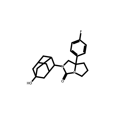 O=C1N(C2C3CC4CC2CC(O)(C4)C3)CC2(c3ccc(F)cc3)CCCN12